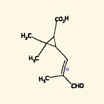 C/C(C=O)=C\C1C(C(=O)O)C1(C)C